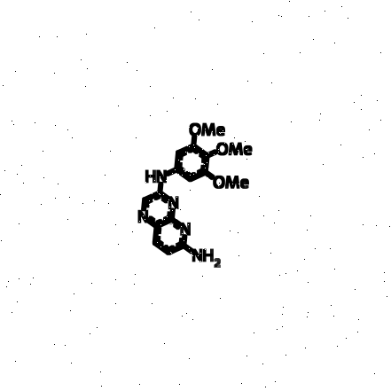 COc1cc(Nc2cnc3ccc(N)nc3n2)cc(OC)c1OC